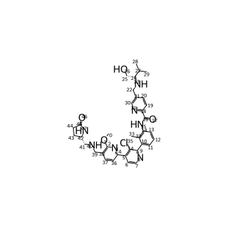 COc1nc(-c2ccnc(-c3cccc(NC(=O)c4ccc(CN[C@H](CO)C(C)C)cn4)c3C)c2Cl)ccc1CNC[C@@H]1CCC(=O)N1